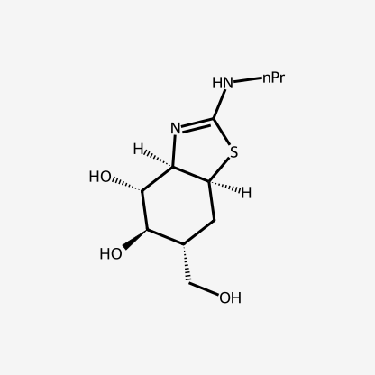 CCCNC1=N[C@@H]2[C@@H](O)[C@H](O)[C@@H](CO)C[C@@H]2S1